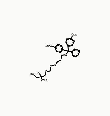 CCOC(=O)C(C#N)(CO)COCSSCCCOC(c1ccccc1)(c1ccc(OC)cc1)c1ccc(OC)cc1